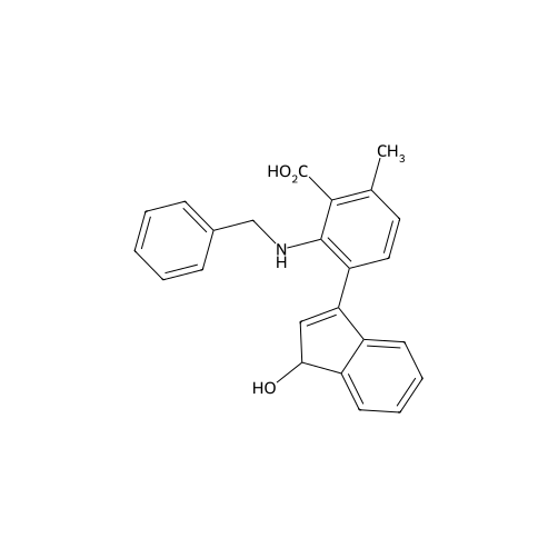 Cc1ccc(C2=CC(O)c3ccccc32)c(NCc2ccccc2)c1C(=O)O